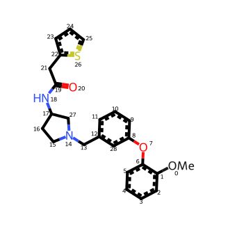 COc1ccccc1Oc1cccc(CN2CCC(NC(=O)Cc3cccs3)C2)c1